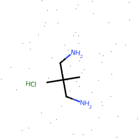 CC(C)(CN)CN.Cl